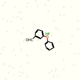 F.O=Cc1cccc(Oc2ccccc2)c1